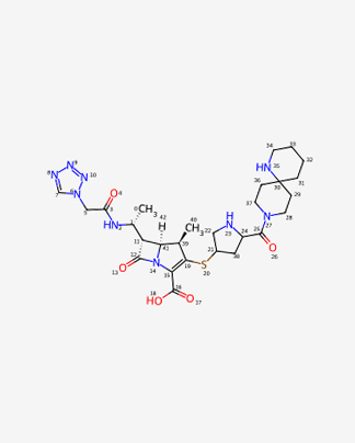 C[C@@H](NC(=O)Cn1cnnn1)[C@H]1C(=O)N2C(C(=O)O)=C(SC3CNC(C(=O)N4CCC5(CCCCN5)CC4)C3)[C@H](C)[C@H]12